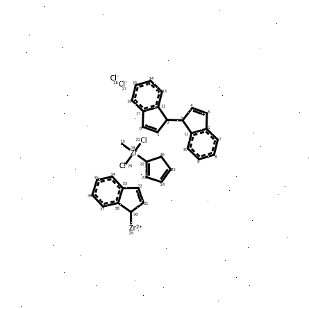 C1=CC(C2C=Cc3ccccc32)c2ccccc21.[CH3][Zr]([Cl])([Cl])[C]1=CC=CC1.[Cl-].[Cl-].[Zr+2][CH]1C=Cc2ccccc21